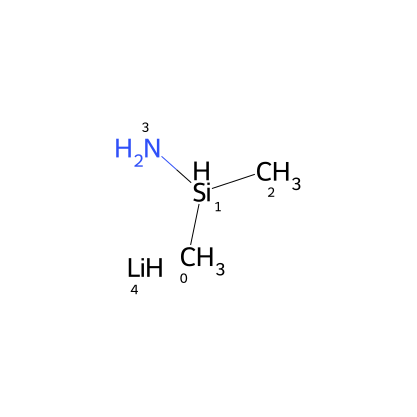 C[SiH](C)N.[LiH]